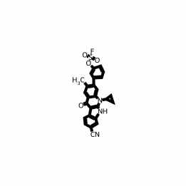 Cc1cc2c(=O)c3c4ccc(C#N)cc4[nH]c3n(C3CC3)c2cc1-c1cccc(OS(=O)(=O)F)c1